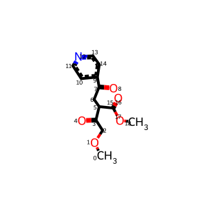 COCC(=O)C(CC(=O)c1ccncc1)C(=O)OC